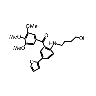 COc1cc(C(=O)c2cc(-c3ccco3)ccc2NCCCCO)cc(OC)c1OC